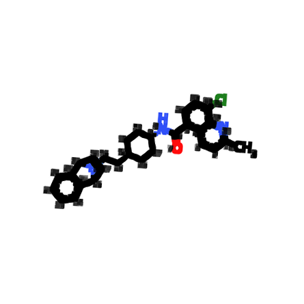 Cc1ccc2c(C(=O)N[C@H]3CC[C@H](CCN4C5C=CC4c4ccccc45)CC3)ccc(Cl)c2n1